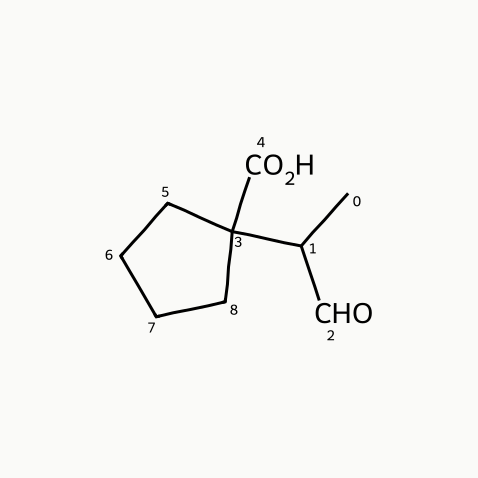 CC(C=O)C1(C(=O)O)CCCC1